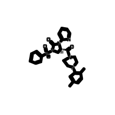 Cc1ccc(C)c(N2CCN(C(=O)[C@@H]3CN(S(=O)(=O)c4ccccc4)C(=O)N3c3ccccn3)CC2)c1